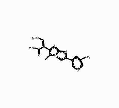 CO/C=C(\C(=O)OC)c1sc2nc(-c3cncc(C(F)(F)F)c3)nn2c1C